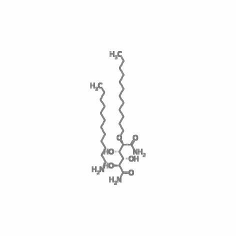 CCCCCCCCCCCCN.CCCCCCCCCCCCO[C@@H](C(N)=O)[C@@H](O)[C@H](O)[C@H](O)C(N)=O